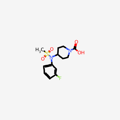 CS(=O)(=O)N(c1cccc(F)c1)C1CCN(C(=O)O)CC1